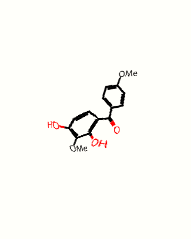 COc1ccc(C(=O)c2ccc(O)c(OC)c2O)cc1